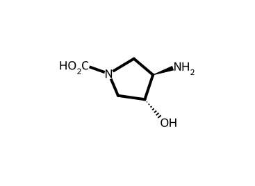 N[C@@H]1CN(C(=O)O)C[C@H]1O